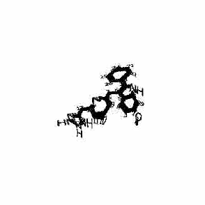 COc1ccc2c(Cc3cccc(CC4=NNNN4)n3)c(-c3ccccc3)[nH]c2c1